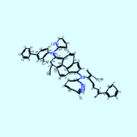 C=C(C#N)/C(=C\C=C(/C)c1ccccc1)N(c1ccccn1)c1ccc2ccc3c4c(ccc1c24)C(C)CC=3N(C1=CC=CCN1)c1ccc(-c2ccccc2)cc1C#N